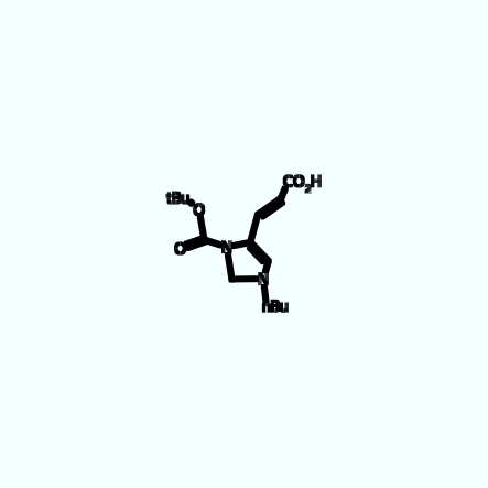 CCCCN1C=C(C=CC(=O)O)N(C(=O)OC(C)(C)C)C1